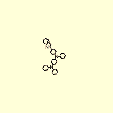 c1ccc(N(c2ccccc2)c2ccc(N(c3ccccc3)c3ccc(-c4cn5ccccc5n4)cc3)cc2)cc1